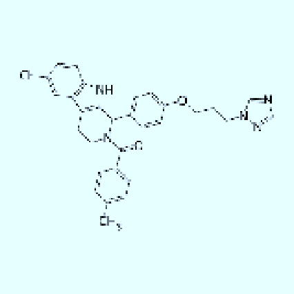 Cc1ccc(C(=O)N2CCc3c([nH]c4ccc(Cl)cc34)C2c2ccc(OCCCn3cncn3)cc2)cc1